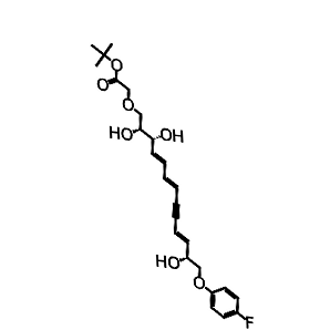 CC(C)(C)OC(=O)COC[C@H](O)[C@H](O)C=CC=CC#CC=C[C@H](O)COc1ccc(F)cc1